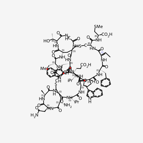 C/C=C1\NC(=O)[C@H](Cc2ccccc2)NC(=O)[C@@H]2CCCN2C(=O)[C@H](C(C)C)NC(=O)[C@H](Cc2c[nH]c3ccccc23)NC(=O)[C@]2(CSC[C@@H](C(=O)N[C@@H](CSC)C(=O)O)NC1=O)C[C@H](NC(=O)[C@@H](CSC)NC(=O)[C@@H]1CSC[C@]3(C[C@H](N)C(=O)N[C@@H](CC(N)=O)C(=O)N[C@@H](C)C(=O)N3)C(=O)N[C@@H](C(C)C)C(=O)N[C@@H](Cc3c[nH]c4ccccc34)C(=O)N[C@@H](CCC(=O)O)C(=O)N1)C(=O)N[C@@H]([C@@H](C)O)C(=O)NCC(=O)N2